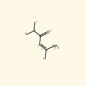 C/C(N)=C/C(=O)C(C)C